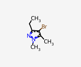 CCc1nn(C)c(C)c1Br